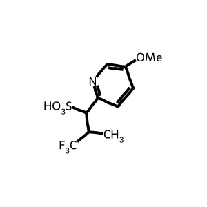 COc1ccc(C(C(C)C(F)(F)F)S(=O)(=O)O)nc1